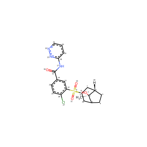 C[C@@]1(O)C2CC[C@H]1C[C@H](S(=O)(=O)c1cc(C(=O)Nc3cccnn3)ccc1Cl)C2